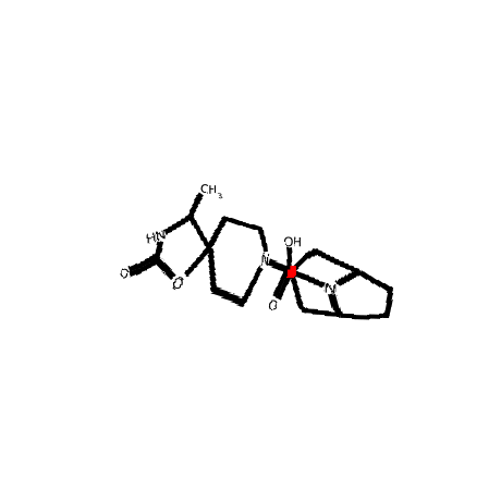 CC1NC(=O)OC12CCN(C1CC3CCC(C1)N3C(=O)O)CC2